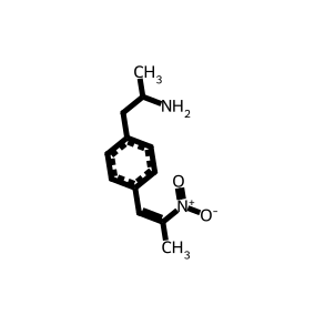 C/C(=C/c1ccc(CC(C)N)cc1)[N+](=O)[O-]